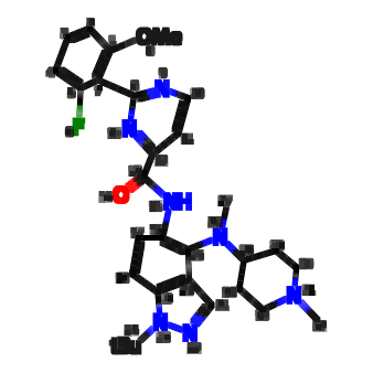 COc1cccc(F)c1-c1nccc(C(=O)Nc2ccc3c(cnn3C(C)(C)C)c2N(C)C2CCN(C)CC2)n1